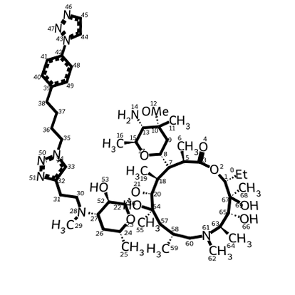 CC[C@H]1OC(=O)[C@H](C)C([C@H]2C[C@@](C)(OC)[C@@H](N)[C@H](C)O2)[C@H](C)[C@@H](O[C@@H]2O[C@H](C)C[C@H](N(C)CCc3cn(CCCCc4ccc(-n5ccnn5)cc4)nn3)[C@H]2O)[C@](C)(O)C[C@@H](C)CN(C)[C@H](C)[C@@H](O)[C@]1(C)O